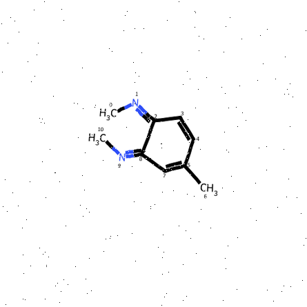 C/N=C1/C=CC(C)=C/C1=N/C